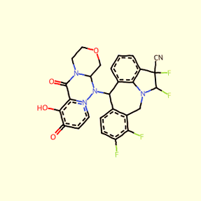 N#CC1(F)c2cccc3c2N(Cc2c(ccc(F)c2F)C3N2C3COCCN3C(=O)c3c(O)c(=O)ccn32)C1F